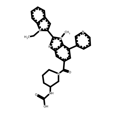 CCn1c(-c2nc3cc(C(=O)N4CCCC(NC(=O)O)C4)cc(-c4cccnc4)c3n2C)cc2ccccc21